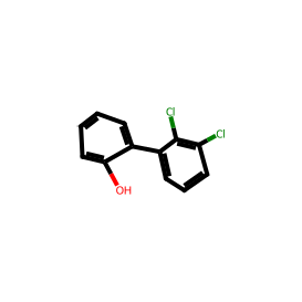 Oc1c[c]ccc1-c1cccc(Cl)c1Cl